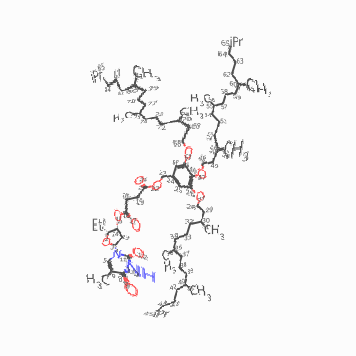 CC[C@H]1O[C@@H](n2cc(C)c(=O)[nH]c2=O)C[C@H]1OC(=O)CCC(=O)OCc1cc(OCCC(C)CCCC(C)CCCC(C)CCCC(C)C)c(OCCC(C)CCCC(C)CCCC(C)CCCC(C)C)c(OCCC(C)CCCC(C)CCCC(C)CCCC(C)C)c1